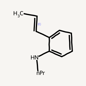 C/C=C/c1ccccc1NCCC